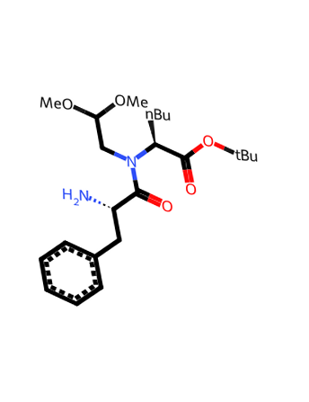 CCCC[C@@H](C(=O)OC(C)(C)C)N(CC(OC)OC)C(=O)[C@@H](N)Cc1ccccc1